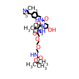 Cc1ncsc1-c1ccc(CNC(=O)[C@@H]2C[C@@H](O)CN2C(=O)[C@@H](NC(=O)COCCOCCNC(=O)OC(C)(C)C)C(C)(C)C)cc1